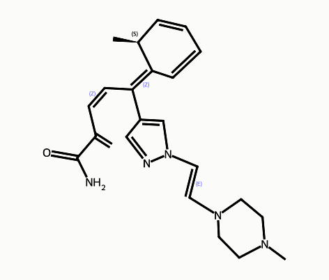 C=C(/C=C\C(=C1\C=CC=C[C@@H]1C)c1cnn(/C=C/N2CCN(C)CC2)c1)C(N)=O